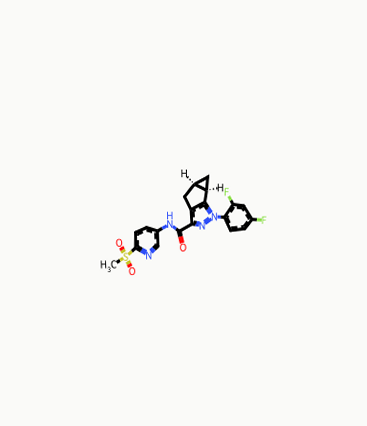 CS(=O)(=O)c1ccc(NC(=O)c2nn(-c3ccc(F)cc3F)c3c2C[C@H]2C[C@@H]32)cn1